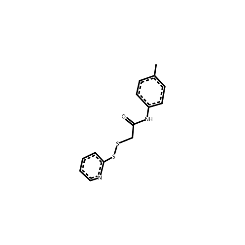 Cc1ccc(NC(=O)CSSc2ccccn2)cc1